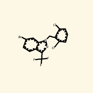 FC(F)(F)c1nn(Cc2c(Cl)cccc2Cl)c2cc(Br)ccc12